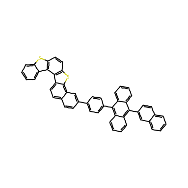 c1ccc2cc(-c3c4ccccc4c(-c4ccc(-c5ccc6ccc7c(sc8ccc9sc%10ccccc%10c9c87)c6c5)cc4)c4ccccc34)ccc2c1